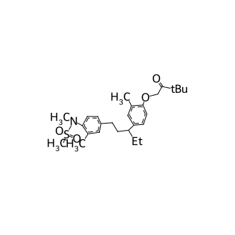 CCC(CCc1ccc(N(C)S(C)(=O)=O)c(C)c1)c1ccc(OCC(=O)C(C)(C)C)c(C)c1